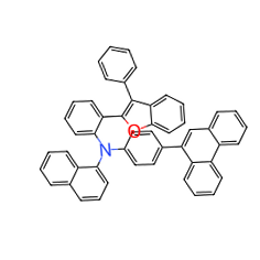 c1ccc(-c2c(-c3ccccc3N(c3ccc(-c4cc5ccccc5c5ccccc45)cc3)c3cccc4ccccc34)oc3ccccc23)cc1